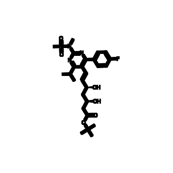 CC(C)c1nc(N(C)S(C)(=O)=O)nc(-c2ccc(F)cc2)c1/C=C/[C@H](O)C[C@@H](O)CC(=O)OC(C)(C)C